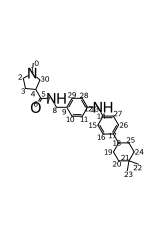 CN1CCC(C(=O)NCc2ccc(Nc3ccc(C4CCC(C)(C)CC4)cc3)cc2)C1